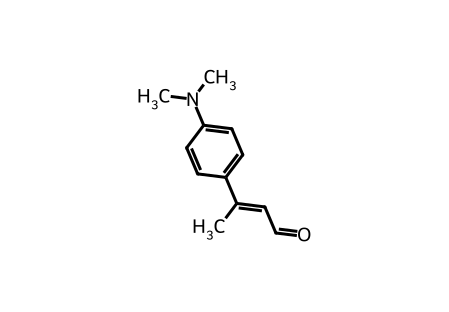 CC(=CC=O)c1ccc(N(C)C)cc1